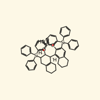 O=P1(O)Oc2c([Si](c3ccccc3)(c3ccccc3)c3ccccc3)cc3c(c2[C@H]2C4=C(CCCC4)CC([Si](c4ccccc4)(c4ccccc4)c4ccccc4)[C@H]2O1)CCCC3